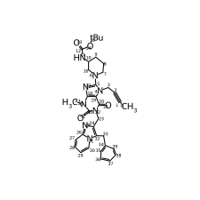 CC#CCn1c(N2CCCC(NC(=O)OC(C)(C)C)C2)nc2c1c(=O)n(Cc1nc3ccccn3c1Cc1ccccc1)c(=O)n2C